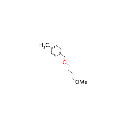 COCCCCOCc1ccc(C)cc1